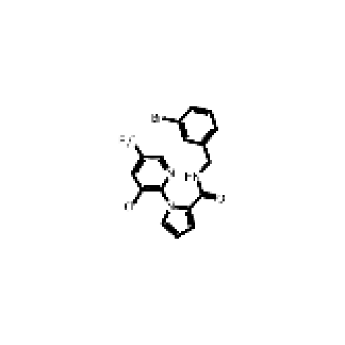 O=C(NCc1cccc(Br)c1)c1cccn1-c1ncc(C(F)(F)F)cc1Cl